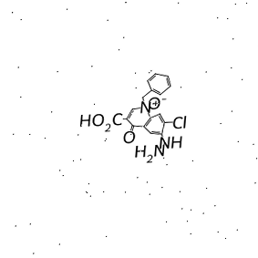 NNc1cc2c(cc1Cl)[N+]([O-])(Cc1ccccc1)C=C(C(=O)O)C2=O